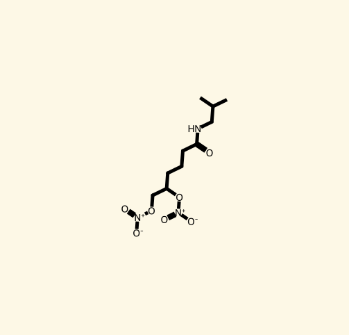 CC(C)CNC(=O)CCCC(CO[N+](=O)[O-])O[N+](=O)[O-]